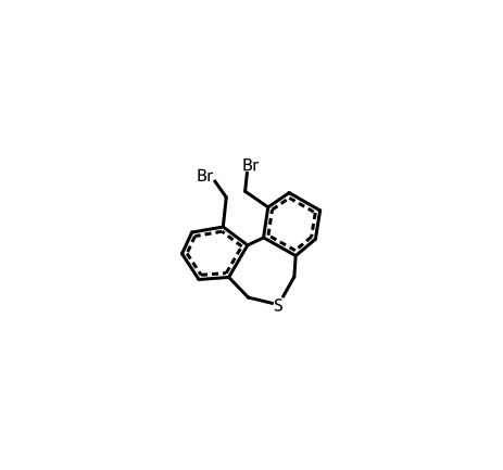 BrCc1cccc2c1-c1c(CBr)cccc1CSC2